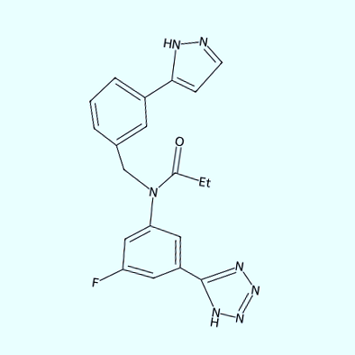 CCC(=O)N(Cc1cccc(-c2ccn[nH]2)c1)c1cc(F)cc(-c2nnn[nH]2)c1